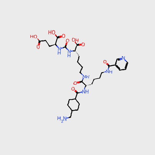 NCC1CCC(C(=O)N[C@@H](CCCCNC(=O)c2cccnc2)C(=O)NCCCC[C@H](NC(=O)N[C@@H](CCC(=O)O)C(=O)O)C(=O)O)CC1